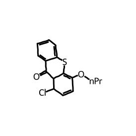 CCCOC1=C2Sc3ccccc3C(=O)C2C(Cl)C=C1